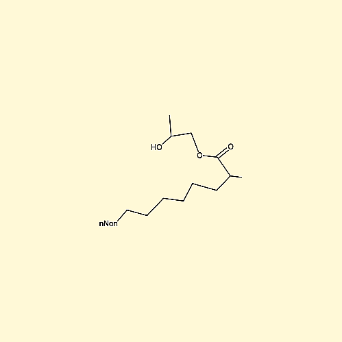 CCCCCCCCCCCCCCCC(C)C(=O)OCC(C)O